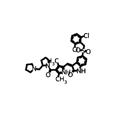 Cc1[nH]c(/C=C2\C(=O)Nc3ccc(S(=O)(=O)Cc4c(Cl)cccc4Cl)cc32)c(C)c1C(=O)N1CCCC1CN1CCCC1